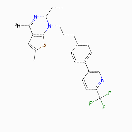 [2H]C1=NC(CC)N(CCCc2ccc(-c3ccc(C(F)(F)F)nc3)cc2)c2sc(C)cc21